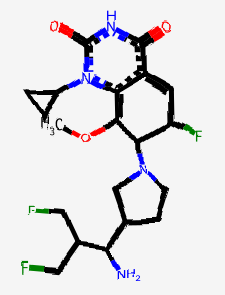 COC1=c2c(c(=O)[nH]c(=O)n2C2CC2)=CC(F)C1N1CCC(C(N)C(CF)CF)C1